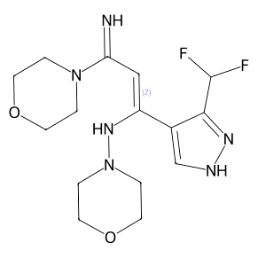 N=C(/C=C(\NN1CCOCC1)c1c[nH]nc1C(F)F)N1CCOCC1